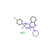 CC(I)(Nc1nc(N2CCCCC2)nc2ccccc12)c1ccc(F)cc1.Cl